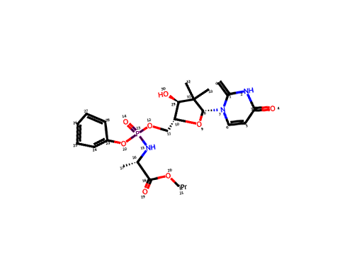 C=C1NC(=O)C=CN1[C@@H]1O[C@H](COP(=O)(N[C@@H](C)C(=O)OC(C)C)Oc2ccccc2)[C@@H](O)C1(C)C